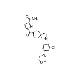 NC(=O)c1ccn(C(=O)N2CCC3(CCN(Cc4ccc(N5CCOCC5)cc4Cl)C3)CC2)n1